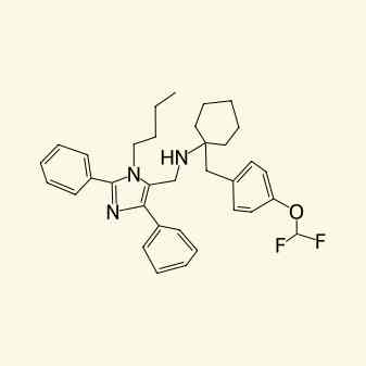 CCCCn1c(-c2ccccc2)nc(-c2ccccc2)c1CNC1(Cc2ccc(OC(F)F)cc2)CCCCC1